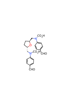 O=Cc1ccc(N(C[C@@H]2CC[C@@H](CN(C(=O)O)c3ccc(C=O)cc3)O2)C(=O)O)cc1